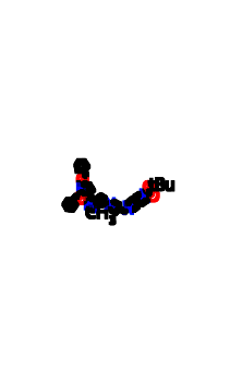 Cn1nc(-c2ccc(OCc3ccccc3)nc2OCc2ccccc2)c2ccc(N3CCC(CN4CCC5(CC4)CCN(C(=O)OC(C)(C)C)CC5)CC3)cc21